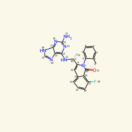 Cc1ccccc1-n1c([C@@H](C)Nc2nc(N)nc3[nH]cnc23)cc2cccc(F)c2c1=O